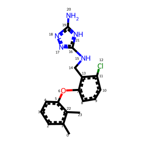 Cc1cccc(Oc2cccc(Cl)c2CNc2nnc(N)[nH]2)c1C